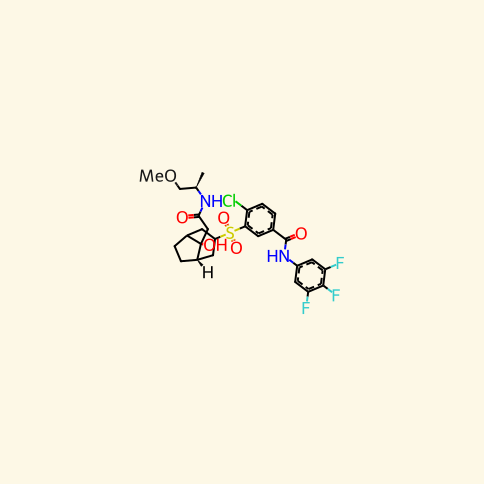 COC[C@@H](C)NC(=O)C[C@@]1(O)C2CC[C@H]1CC(S(=O)(=O)c1cc(C(=O)Nc3cc(F)c(F)c(F)c3)ccc1Cl)C2